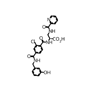 O=C(NCc1cccc(O)c1)c1ccc(C(=O)N[C@@H](CNC(=O)c2ccccn2)C(=O)O)c(Cl)c1